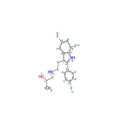 CC(O)CNCCc1c(-c2ccc(F)cc2)[nH]c2c(F)cc(F)cc12